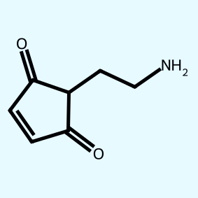 NCCC1C(=O)C=CC1=O